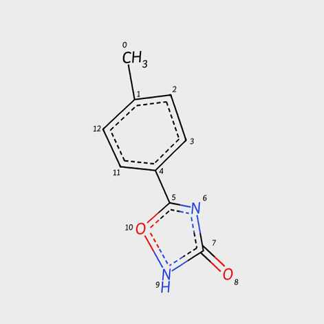 Cc1ccc(-c2nc(=O)[nH]o2)cc1